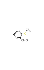 O=Cc1ccccc1SC(F)(F)F